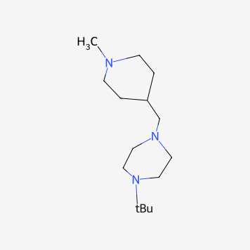 CN1CCC(CN2CCN(C(C)(C)C)CC2)CC1